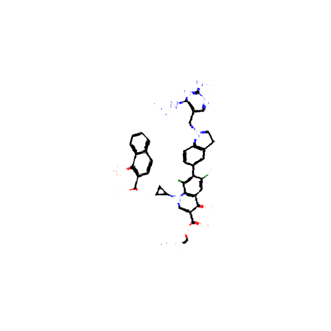 CCOC(=O)c1cn(C2CC2)c2c(F)c(-c3ccc4c(c3)CCN4Cc3cnc(N)nc3N)c(F)cc2c1=O.O=C(O)c1ccc2ccccc2c1O